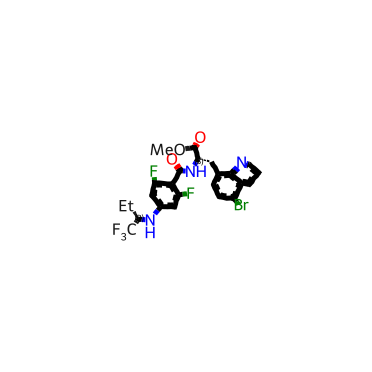 CC[C@@H](Nc1cc(F)c(C(=O)N[C@@H](Cc2ccc(Br)c3cccnc23)C(=O)OC)c(F)c1)C(F)(F)F